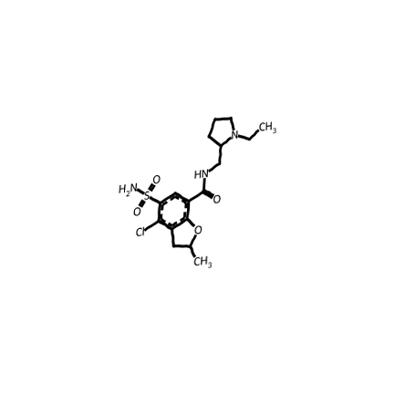 CCN1CCCC1CNC(=O)c1cc(S(N)(=O)=O)c(Cl)c2c1OC(C)C2